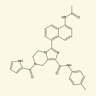 CC(=O)Nc1cccc2c(-c3nc(C(=O)Nc4ccc(C)cc4)c4n3CCN(C(=O)c3ccc[nH]3)C4)cccc12